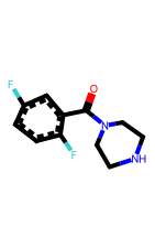 O=C(c1cc(F)c[c]c1F)N1CCNCC1